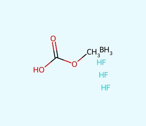 B.COC(=O)O.F.F.F